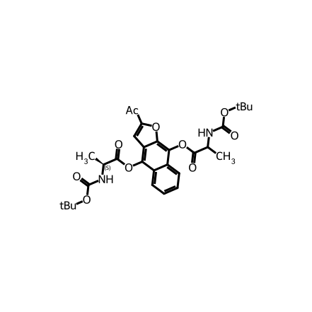 CC(=O)c1cc2c(OC(=O)[C@H](C)NC(=O)OC(C)(C)C)c3ccccc3c(OC(=O)C(C)NC(=O)OC(C)(C)C)c2o1